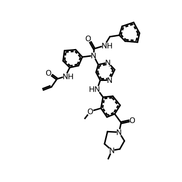 C=CC(=O)Nc1cccc(N(C(=O)NCc2ccccc2)c2cc(Nc3ccc(C(=O)N4CCN(C)CC4)cc3OC)ncn2)c1